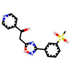 CS(=O)(=O)c1cccc(-c2noc(CC(=O)c3ccncc3)n2)c1